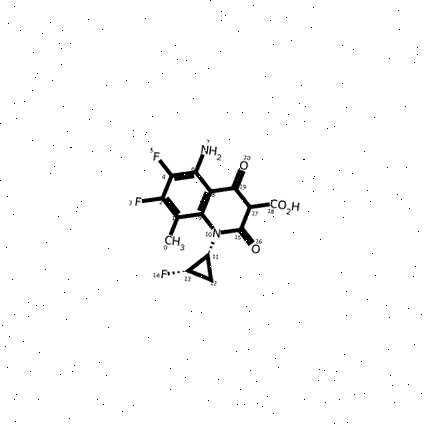 Cc1c(F)c(F)c(N)c2c1N([C@@H]1C[C@@H]1F)C(=O)C(C(=O)O)C2=O